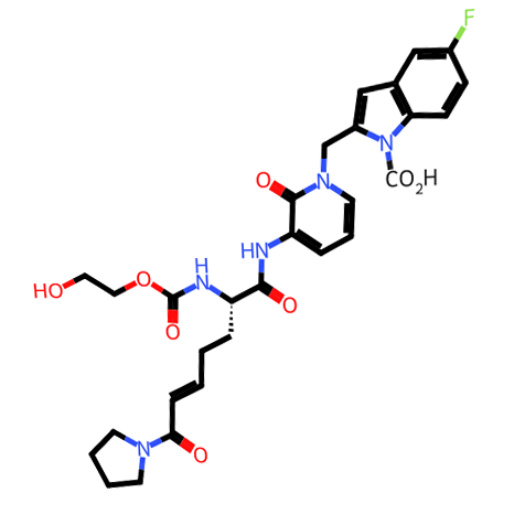 O=C(N[C@@H](CC/C=C/C(=O)N1CCCC1)C(=O)Nc1cccn(Cc2cc3cc(F)ccc3n2C(=O)O)c1=O)OCCO